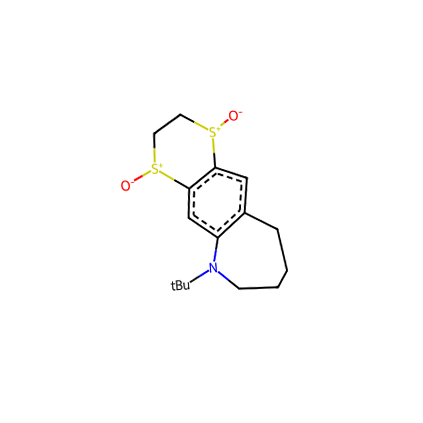 CC(C)(C)N1CCCCc2cc3c(cc21)[S+]([O-])CC[S+]3[O-]